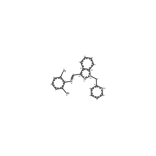 CC(C)c1cccc(C(C)C)c1/N=C/c1nn(Cc2ccccn2)c2ccccc12